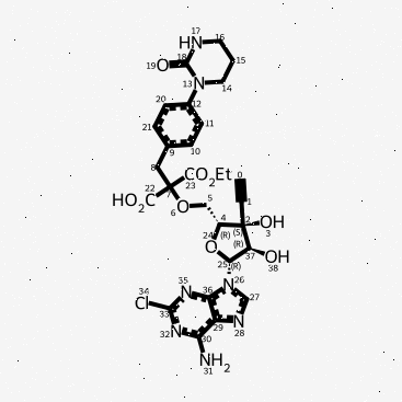 C#C[C@@]1(O)[C@@H](COC(Cc2ccc(N3CCCNC3=O)cc2)(C(=O)O)C(=O)OCC)O[C@@H](n2cnc3c(N)nc(Cl)nc32)[C@@H]1O